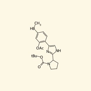 CBc1ccc(-c2c[nH]c(C3CCCN3C(=O)OC(C)(C)C)n2)c(OC(C)=O)c1